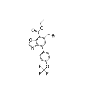 CCOC(=O)c1c(CBr)cc(-c2ccc(OC(F)(F)F)cc2)c2ncoc12